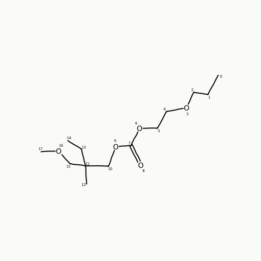 CCCOCCOC(=O)OCC(C)(CC)COC